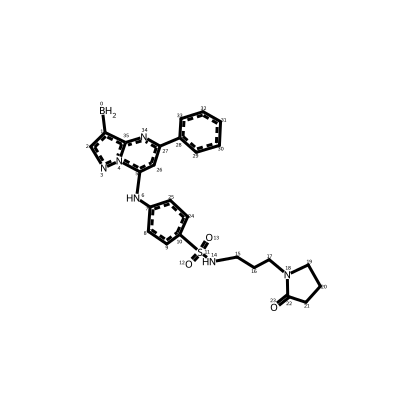 Bc1cnn2c(Nc3ccc(S(=O)(=O)NCCCN4CCCC4=O)cc3)cc(-c3ccccc3)nc12